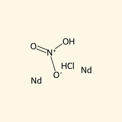 Cl.O=[N+]([O-])O.[Nd].[Nd]